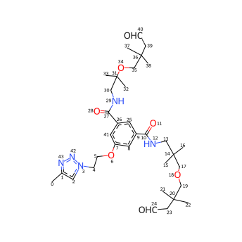 Cc1cn(CCOc2cc(C(=O)NCC(C)(C)COCC(C)(C)CC=O)cc(C(=O)NCC(C)(C)OCC(C)(C)CC=O)c2)nn1